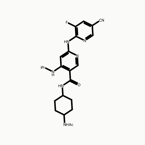 CC(=O)NC1CCC(NC(=O)c2cnc(Nc3ncc(C#N)cc3F)cc2NC(C)C)CC1